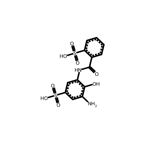 Nc1cc(S(=O)(=O)O)cc(NC(=O)c2ccccc2S(=O)(=O)O)c1O